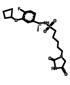 C[C@@H](NS(=O)(=O)CCCCCN1CC(=O)NC1=O)c1ccc(F)c(OC2CCC2)c1